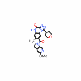 COc1cc2c(cn1)N(C(=O)c1cc3c(cc1C)[nH]c(=O)c1nnc(C4CCOCC4)n13)CC2